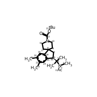 CC(=O)N(C)C(C)(C)[C@@H]1CC2(CCN(C(=O)OC(C)(C)C)CC2)c2cc(C)c(C)cc21